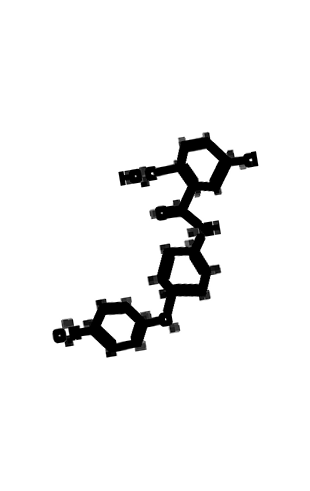 O=C(O)c1ccc(Cl)cc1C(=O)Nc1ccc(Oc2ccc([N+](=O)[O-])cc2)cc1